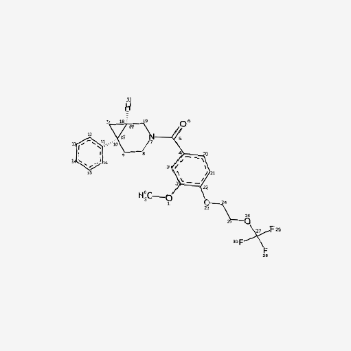 COc1cc(C(=O)N2CC[C@@]3(c4ccccc4)C[C@H]3C2)ccc1OCCOC(F)(F)F